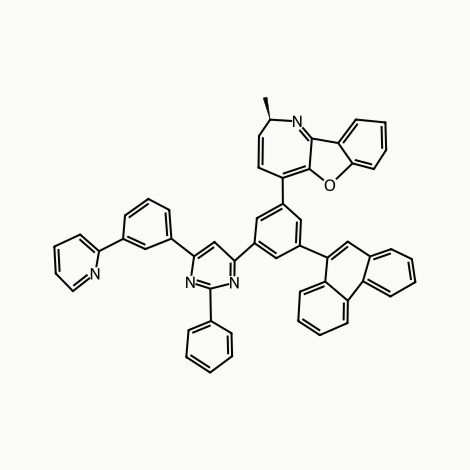 C[C@@H]1C=CC(c2cc(-c3cc(-c4cccc(-c5ccccn5)c4)nc(-c4ccccc4)n3)cc(-c3cc4ccccc4c4ccccc34)c2)=c2oc3ccccc3c2=N1